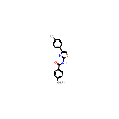 CCc1ccc(-c2csc(NC(=O)c3ccc(NC(C)=O)cc3)n2)cc1